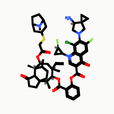 C=C[C@@]1(C)C[C@H](OC(=O)CSC2CC3CCC(C2)N3C)[C@@]2(C)C(C)CCC3(CCC(=O)C32)[C@H](C)[C@@H]1OC(=O)c1ccccc1OC(=O)c1cn(C2C[C@@H]2F)c2c(Cl)c(N3C[C@@H](N)C4(CC4)C3)c(F)cc2c1=O